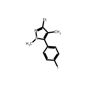 CCc1nn(C)c(-c2ccc(I)cc2)c1C